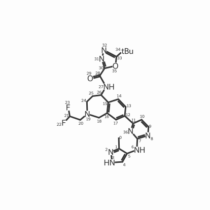 Cc1n[nH]cc1Nc1nccc(-c2ccc3c(c2)CN(CC(F)F)CCC3NC(=O)c2nnc(C(C)(C)C)o2)n1